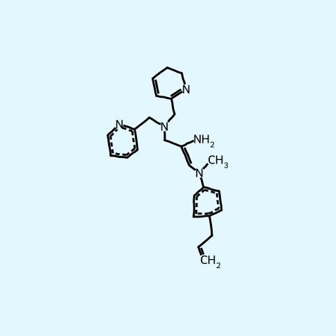 C=CCc1ccc(N(C)/C=C(\N)CN(CC2=NCCC=C2)Cc2ccccn2)cc1